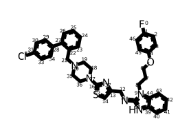 Fc1ccc(OCCCn2c(=NCc3csc(N4CCN(Cc5ccccc5-c5ccc(Cl)cc5)CC4)n3)[nH]c3ccccc32)cc1